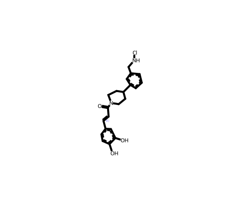 O=C(/C=C/c1ccc(O)c(O)c1)N1CCC(c2cccc(CNCl)c2)CC1